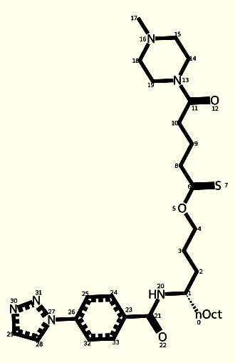 CCCCCCCC[C@@H](CCCOC(=S)CCCC(=O)N1CCN(C)CC1)NC(=O)c1ccc(-n2ccnn2)cc1